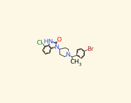 CC(c1ccc(Br)cc1)N1CCC(n2c(=O)[nH]c3c(Cl)cccc32)CC1